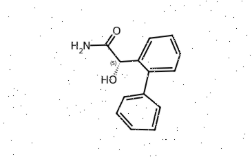 NC(=O)[C@@H](O)c1ccccc1-c1ccccc1